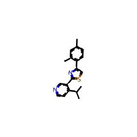 Cc1ccc(-c2csc(-c3cnccc3C(C)C)n2)c(C)c1